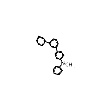 CN(c1ccccc1)c1ccc(-c2cccc(-c3ccccc3)c2)cc1